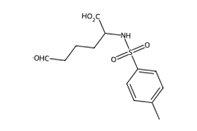 Cc1ccc(S(=O)(=O)NC(CCC[C]=O)C(=O)O)cc1